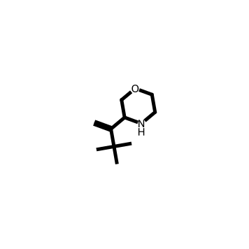 C=C(C1COCCN1)C(C)(C)C